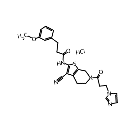 COc1cccc(CCC(=O)Nc2sc3c(c2C#N)CCN(C(=O)CCn2ccnc2)C3)c1.Cl